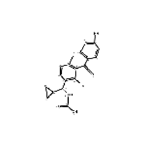 Nc1ccc(C(=O)c2c(Cl)ccc([C@H](NC(=O)O)C3CC3)c2F)cn1